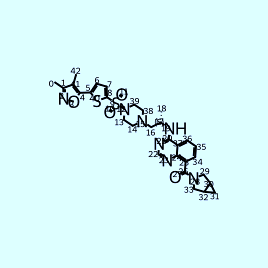 Cc1noc(-c2ccc(S(=O)(=O)N3CCN(C[C@H](C)Nc4ncnc5c(C(=O)N6CC7CC7C6)cccc45)CC3)s2)c1C